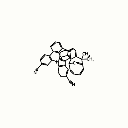 CC1(C)C2=CCC(/C=C\C=C/2)c2c1ccc1c2sc2c(-c3ccc(C#N)cc3-n3c4c(c5c3CCC(C#N)=C5)C=CCC4)cccc21